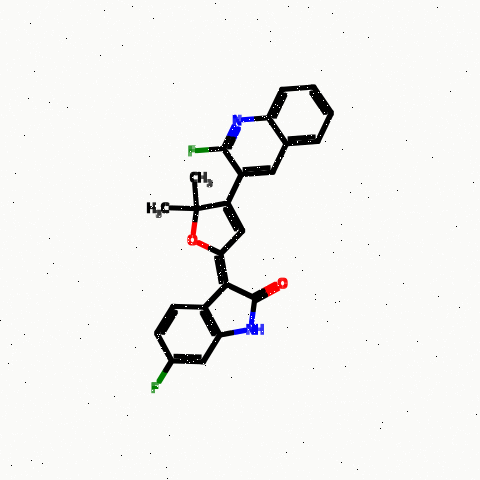 CC1(C)OC(=C2C(=O)Nc3cc(F)ccc32)C=C1c1cc2ccccc2nc1F